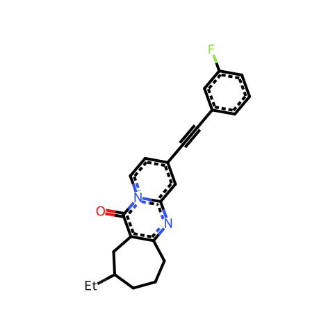 CCC1CCCc2nc3cc(C#Cc4cccc(F)c4)ccn3c(=O)c2C1